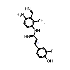 Cc1c(NC(=N)/C=C/c2ccc(O)c(F)c2)ccc(N)c1C=N